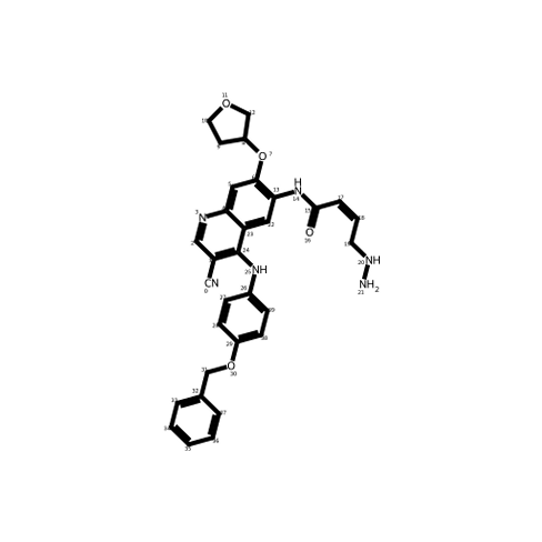 N#Cc1cnc2cc(OC3CCOC3)c(NC(=O)/C=C\CNN)cc2c1Nc1ccc(OCc2ccccc2)cc1